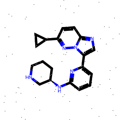 c1cc(N[C@@H]2CCCNC2)nc(-c2cnc3ccc(C4CC4)nn23)c1